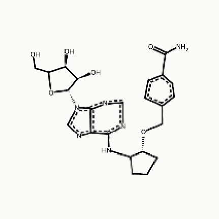 NC(=O)c1ccc(CO[C@@H]2CCCC2Nc2ncnc3c2ncn3[C@@H]2OC(CO)[C@@H](O)[C@H]2O)cc1